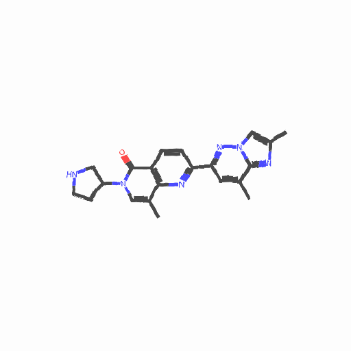 Cc1cn2nc(-c3ccc4c(=O)n(C5CCNC5)cc(C)c4n3)cc(C)c2n1